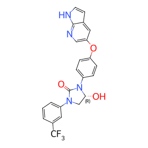 O=C1N(c2cccc(C(F)(F)F)c2)C[C@@H](O)N1c1ccc(Oc2cnc3[nH]ccc3c2)cc1